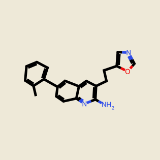 Cc1ccccc1-c1ccc2nc(N)c(CCc3cnco3)cc2c1